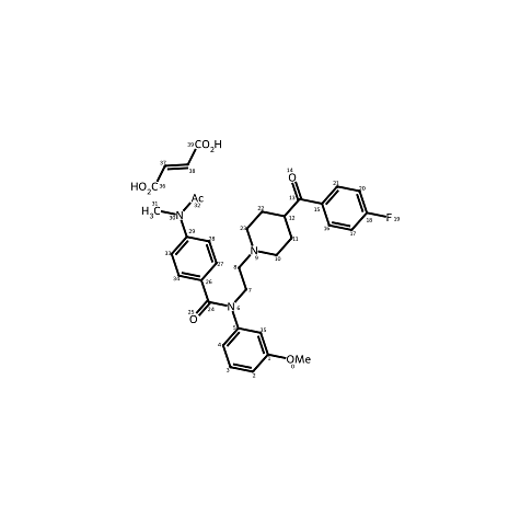 COc1cccc(N(CCN2CCC(C(=O)c3ccc(F)cc3)CC2)C(=O)c2ccc(N(C)C(C)=O)cc2)c1.O=C(O)/C=C/C(=O)O